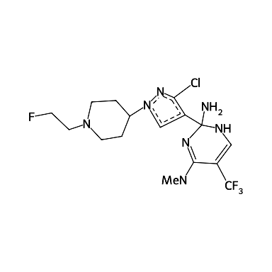 CNC1=NC(N)(c2cn(C3CCN(CCF)CC3)nc2Cl)NC=C1C(F)(F)F